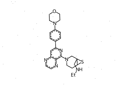 CCNCC12CN(c3nc(-c4ccc(N5CCOCC5)cc4)cc4nccnc34)CCC1S2